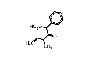 C=CC(C)C(=O)C(C(=O)O)c1ccncc1